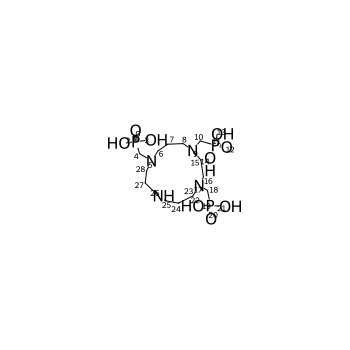 O=P(O)(O)CN1CCCN(CP(=O)(O)O)CCN(CP(=O)(O)O)CCCNCC1